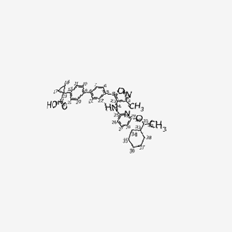 Cc1noc(-c2ccc(-c3ccc(C4(C(=O)O)CC4)cc3)cc2)c1Nc1cccc(OC(C)C2CCCCC2)n1